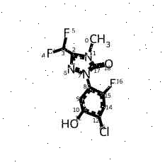 Cn1c(C(F)F)nn(-c2cc(O)c(Cl)cc2F)c1=O